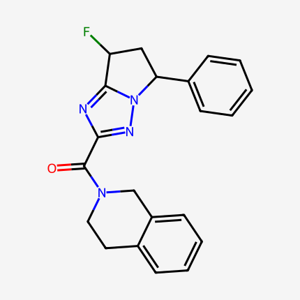 O=C(c1nc2n(n1)C(c1ccccc1)CC2F)N1CCc2ccccc2C1